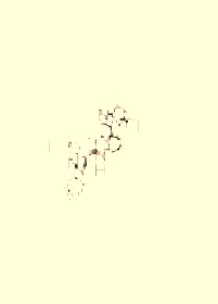 COc1nn(C2CCOCC2)cc1C(=O)Nc1cccc(-c2cnc3n2[C@@H](C)CC3)n1